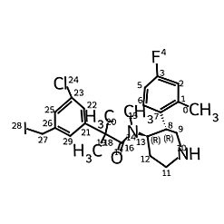 Cc1cc(F)ccc1[C@@H]1CNCC[C@H]1N(C)C(=O)C(C)(C)c1cc(Cl)cc(CI)c1